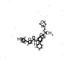 CN(CCN1CCOCC1)c1nc2cc(N3CCCCC3)c(NC(=O)c3ccc(-c4cn[nH]c4)o3)cc2o1